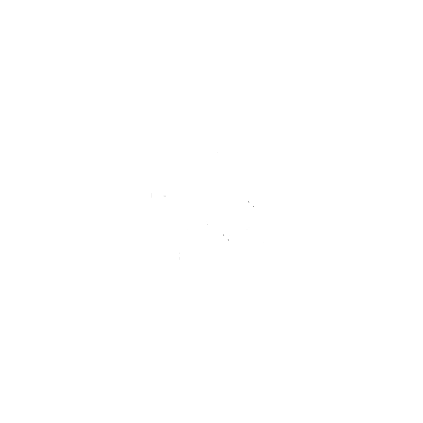 CCCCc1cc(=O)oc2[nH]c(=O)n(CC(F)F)c(=O)c12